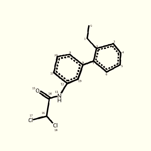 CCc1ccccc1-c1cccc(NC(=O)C(Cl)Cl)c1